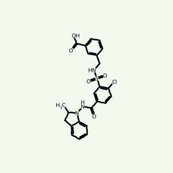 CC1Cc2ccccc2N1NC(=O)c1ccc(Cl)c(S(=O)(=O)NCc2cccc(C(=O)O)c2)c1